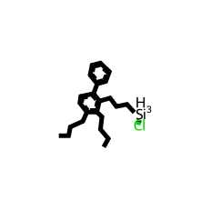 CCCCc1ccc(-c2ccccc2)c(CCCC)c1CCCC.[SiH3]Cl